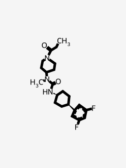 CCC(=O)N1CCC(N(C)C(=O)N[C@H]2CC[C@H](c3cc(F)cc(F)c3)CC2)CC1